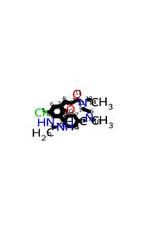 C=C1Nc2c(Cl)cc3cc(C(=O)N(CC)CCN(C)C)oc3c2C2(CCCCC2)N1